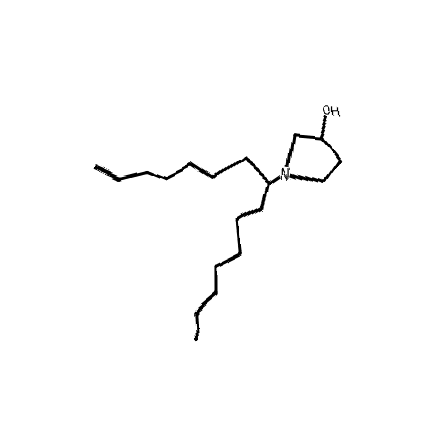 CCCCCCCC(CCCCCCC)N1CCC(O)C1